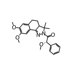 COc1cc2c(cc1OC)C1=NN(C(=O)[C@@H](OC)c3ccccc3)C(C)(C)C1CC2